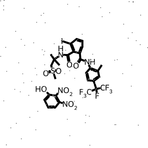 Cc1cc(C(F)(C(F)(F)F)C(F)(F)F)ccc1NC(=O)c1cccc(I)c1C(=O)NC(C)(C)CS(C)(=O)=O.O=[N+]([O-])c1cccc(O)c1[N+](=O)[O-]